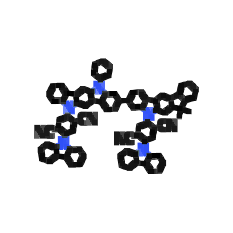 CC1(C)c2ccccc2-c2cc3c4ccc(-c5ccc6c7cc8c(cc7n(-c7ccccc7)c6c5)c5ccccc5n8-c5cc(C#N)c(-n6c7ccccc7c7ccccc76)cc5C#N)cc4n(-c4cc(C#N)c(-n5c6ccccc6c6ccccc65)cc4C#N)c3cc21